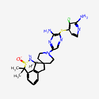 CC1(C)c2cccc3c2[C@@H](N[S+]1[O-])C1(CCN(c2cnc(Sc4ccnc(N)c4Cl)c(N)n2)CC1)C3